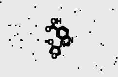 CO[C@H]1COC[C@H]1n1cnc2ccc(C(=O)O)cc21